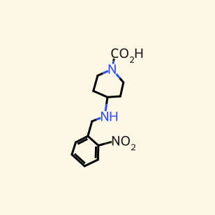 O=C(O)N1CCC(NCc2ccccc2[N+](=O)[O-])CC1